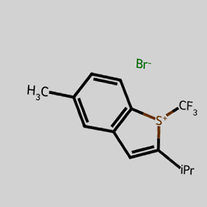 Cc1ccc2c(c1)cc(C(C)C)[s+]2C(F)(F)F.[Br-]